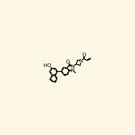 C=CC(=O)N1CC(n2c(=O)c3cc(-c4cc(O)cc5ccccc45)ccc3n2C)C1